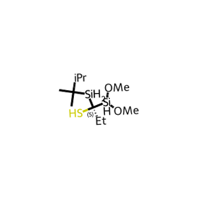 CC[C@](S)([SiH2]C(C)(C)C(C)C)[SiH](OC)OC